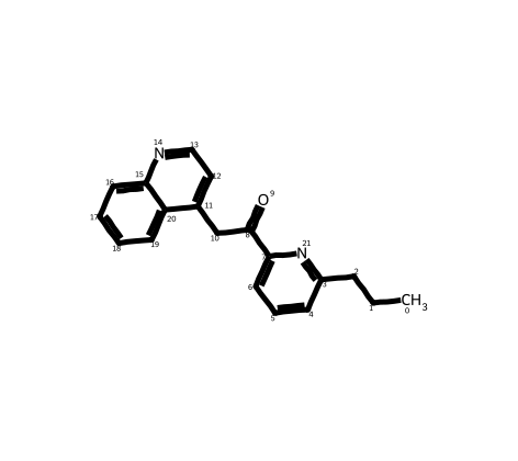 CCCc1cccc(C(=O)Cc2ccnc3ccccc23)n1